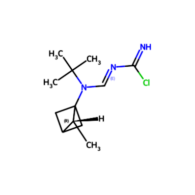 C[C@@H]1C2CC1(N(/C=N/C(=N)Cl)C(C)(C)C)C2